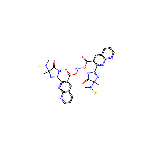 CN(S)C1(C)N=C(c2nc3ncccc3cc2C(=O)ONOC(=O)c2cc3cccnc3nc2C2=NC(C)(N(C)S)C(=O)N2)NC1=O